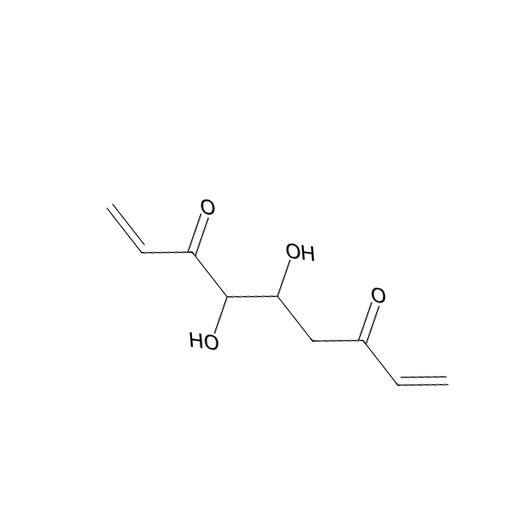 C=CC(=O)CC(O)C(O)C(=O)C=C